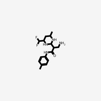 Cc1ccc(NC(=O)C(CN)C2NC(C)CC(C(F)F)N2)cc1